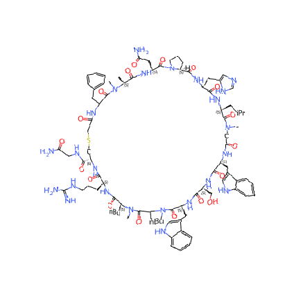 CCCCC1C(=O)N(C)[C@@H](CCCC)C(=O)N[C@@H](CCCNC(=N)N)C(=O)N[C@H](C(=O)NCC(N)=O)CSCC(=O)NC(Cc2ccccc2)C(=O)N(C)[C@@H](C)C(=O)N[C@@H](CC(N)=O)C(=O)N2CCC[C@H]2C(=O)NC(Cc2cnc[nH]2)C(=O)N[C@@H](CC(C)C)C(=O)N(C)CC(=O)N[C@@H](Cc2c[nH]c3ccccc23)C(=O)N[C@@H](CO)C(=O)N[C@@H](Cc2c[nH]c3ccccc23)C(=O)N1C